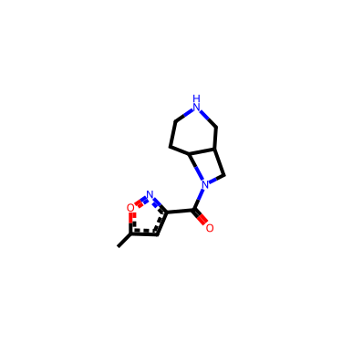 Cc1cc(C(=O)N2CC3CNCCC32)no1